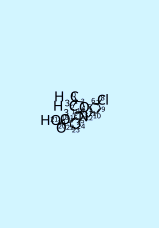 CC(C)COc1cc(Cl)ccc1Cn1ccc2c(OC(=O)O)cccc21